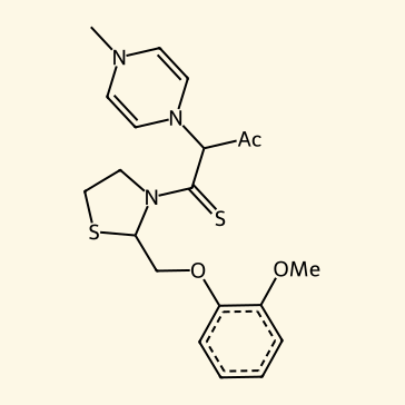 COc1ccccc1OCC1SCCN1C(=S)C(C(C)=O)N1C=CN(C)C=C1